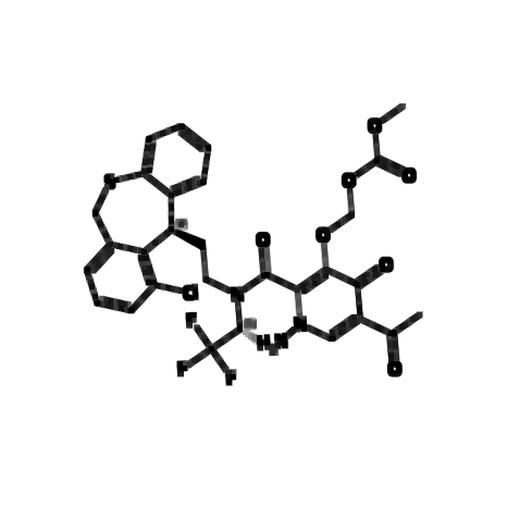 COC(=O)OCOc1c(C(=O)N(CC[C@@H]2c3ccccc3SCc3cccc(Cl)c32)[C@H](C)C(F)(F)F)n(N)cc(C(C)=O)c1=O